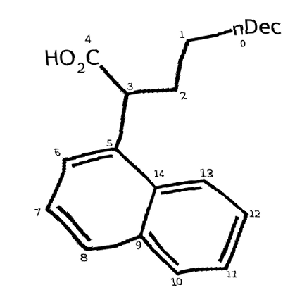 CCCCCCCCCCCCC(C(=O)O)c1cccc2ccccc12